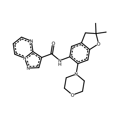 CC1(C)Cc2cc(NC(=O)c3cnn4cccnc34)c(N3CCOCC3)cc2O1